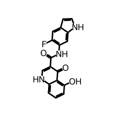 O=C(Nc1cc2[nH]ccc2cc1F)c1c[nH]c2cccc(O)c2c1=O